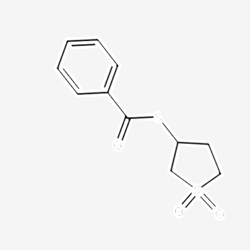 O=C(SC1CCS(=O)(=O)C1)c1ccccc1